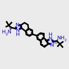 CC(C)(C)[C@H](N)c1nc2c([nH]1)-c1ccc(-c3ccc4c(ccc5nc([C@@H](N)C(C)(C)C)[nH]c54)c3)cc1CC2